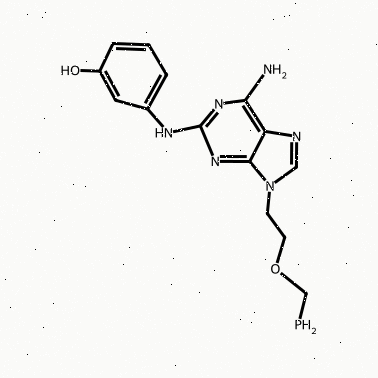 Nc1nc(Nc2cccc(O)c2)nc2c1ncn2CCOCP